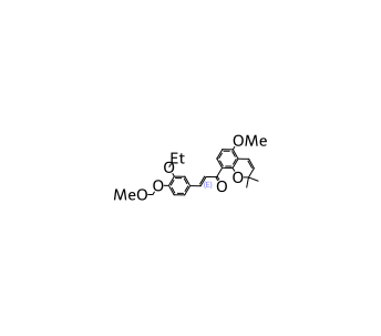 CCOc1cc(/C=C/C(=O)c2ccc(OC)c3c2OC(C)(C)C=C3)ccc1OCOC